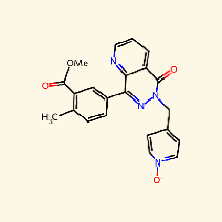 COC(=O)c1cc(-c2nn(Cc3cc[n+]([O-])cc3)c(=O)c3cccnc23)ccc1C